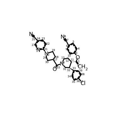 C=C(Oc1ccc(C#N)cc1)[C@H]1CCN(C(=O)C2CCN(c3ccc(C#N)cn3)CC2)C[C@@H]1c1ccc(Cl)cc1